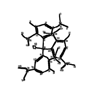 Cc1cc(N(C)C)cc([Si](Cl)(c2cc(N(C)C)cc(C)c2N(C)C)c2cc(N(C)C)cc(C)c2N(C)C)c1N(C)C